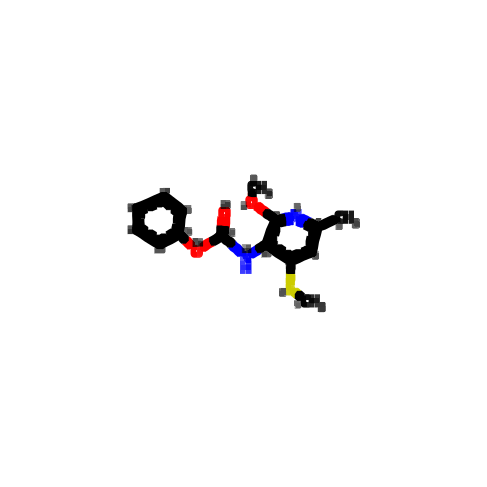 COc1nc(C)cc(SC)c1NC(=O)Oc1ccccc1